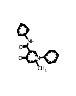 Cc1cc(=O)c(C(=O)Nc2ccccc2)cn1-c1ccccc1